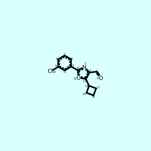 O=Cc1nc(-c2cccc(Cl)c2)oc1C1CCC1